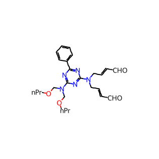 CCCOCN(COCCC)c1nc(-c2ccccc2)nc(N(C/C=C/C=O)C/C=C/C=O)n1